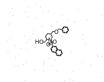 O=S(=O)(c1ccc2ccccc2c1)N1CC(COCc2ccccc2)CCC1CO